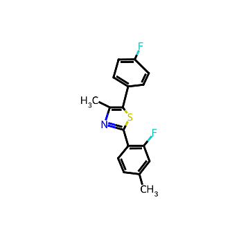 Cc1ccc(-c2nc(C)c(-c3ccc(F)cc3)s2)c(F)c1